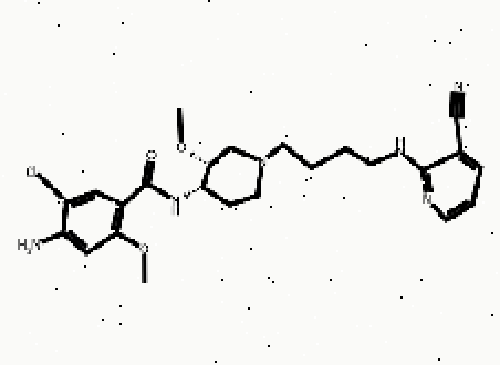 COc1cc(N)c(Cl)cc1C(=O)N[C@H]1CCN(CCCCNc2ncccc2C#N)C[C@H]1OC